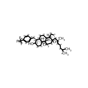 CC(C)CCC[C@@H](C)[C@H]1CC[C@H]2[C@@H]3CCC4[C@H](Cc5ccc(C(F)(F)F)cc5)[C@H](O)CC[C@]4(C)[C@H]3CC[C@]12C